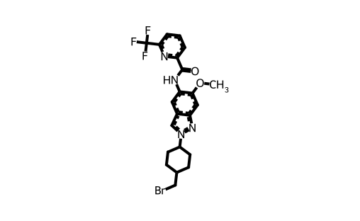 COc1cc2nn(C3CCC(CBr)CC3)cc2cc1NC(=O)c1cccc(C(F)(F)F)n1